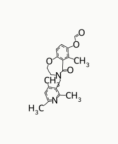 Cc1cc(C)c(CN2CCOc3ccc(OC=O)c(C)c3C2=O)c(C)n1